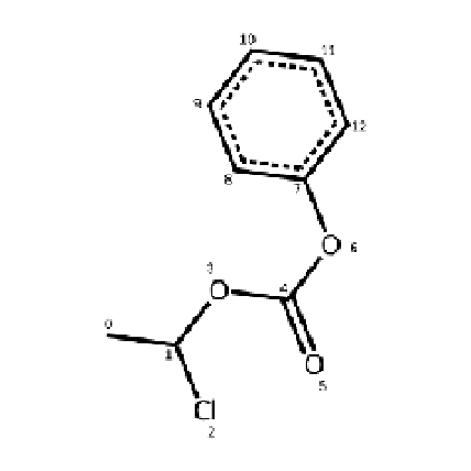 CC(Cl)OC(=O)Oc1ccccc1